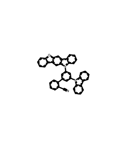 N#Cc1ccccc1-c1cc(-n2c3ccccc3c3ccccc32)cc(-n2c3ccccc3c3cc4oc5ccccc5c4cc32)c1